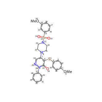 COc1ccc(Sc2c(N3CCN(S(=O)(=O)c4cccc(OC)c4)CC3)cnn(-c3ccccc3)c2=O)cc1